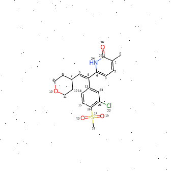 Cc1ccc(C(=CC2CCOCC2)c2ccc(S(C)(=O)=O)c(Cl)c2)[nH]c1=O